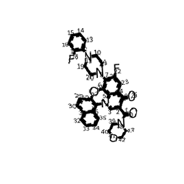 O=C(c1cn2c3c(c(N4CCN(c5ccccc5F)CC4)c(F)cc3c1=O)Oc1ccc3ccccc3c1-2)N1CCOCC1